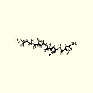 Cn1cc(NC(=O)c2cc(N)nn2C)cc1C(=O)Nc1cc(C(=O)NCCC(=N)N)n(C)n1